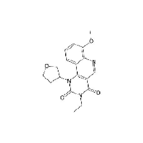 CCn1c(=O)c2cnc3c(OC)cccc3c2n(C2CCOC2)c1=O